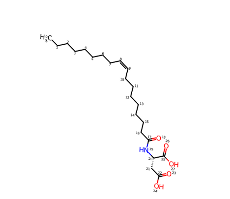 CCCCCCCC/C=C\CCCCCCCC(=O)N[C@@H](CC(=O)O)C(=O)O